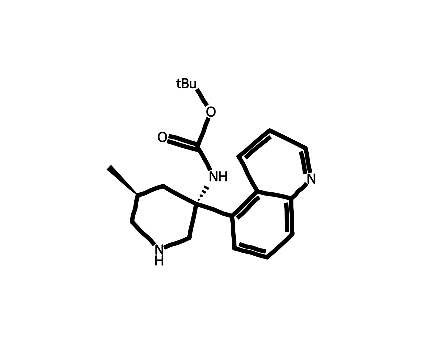 C[C@@H]1CNC[C@](NC(=O)OC(C)(C)C)(c2cccc3ncccc23)C1